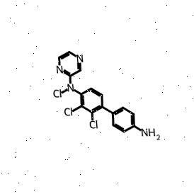 Nc1ccc(-c2ccc(N(Cl)c3cnccn3)c(Cl)c2Cl)cc1